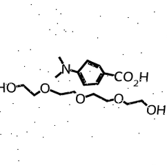 CN(C)c1ccc(C(=O)O)cc1.OCCOCCOCCOCCO